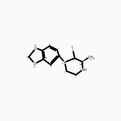 C[C@H]1NCCN(c2ccc3c(c2)OCO3)C1I